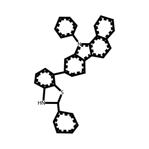 c1ccc(C2Nc3cccc(-c4ccc5c6ccc7ccccc7c6n(-c6ccccc6)c5c4)c3S2)cc1